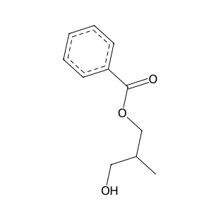 CC(CO)COC(=O)c1ccccc1